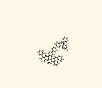 C/C=C\C(Nc1ccccc1)=C(/N)c1cccc(-c2ccc(-c3ccc4c(-c5cc6ccccc6c6c5C=CCC6)c5ccccc5c(-c5cc6c(c7ccccc57)CCC=C6)c4c3)cc2)c1